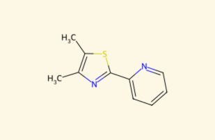 Cc1nc(-c2ccccn2)sc1C